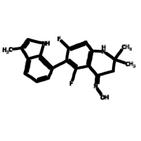 Cc1c[nH]c2c(-c3c(F)cc4c(c3F)C(=NO)CC(C)(C)N4)cccc12